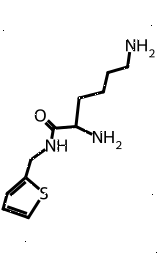 NCCCCC(N)C(=O)NCc1cccs1